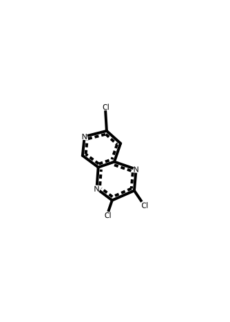 Clc1cc2nc(Cl)c(Cl)nc2cn1